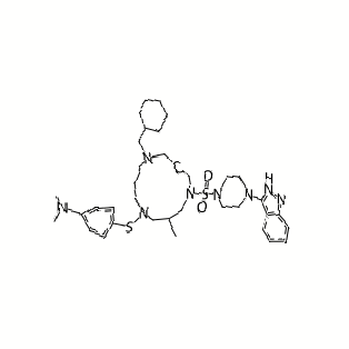 CC1CN(Sc2ccc(N(C)C)cc2)CCCN(CC2CCCCC2)CCCN(S(=O)(=O)N2CCN(c3[nH]nc4ccccc34)CC2)C1